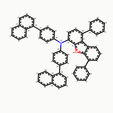 c1ccc(-c2cccc3c2oc2c(N(c4ccc(-c5cccc6ccccc56)cc4)c4ccc(-c5cccc6ccccc56)cc4)ccc(-c4ccccc4)c23)cc1